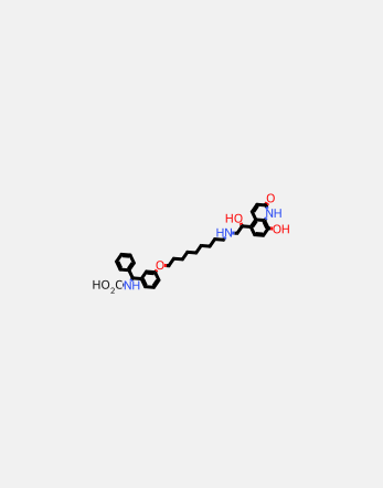 O=C(O)NC(c1ccccc1)c1cccc(OCCCCCCCCCNCC(O)c2ccc(O)c3[nH]c(=O)ccc23)c1